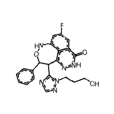 O=c1[nH]nc2c3c(cc(F)cc13)NOC(c1ccccc1)C2c1ncnn1CCCO